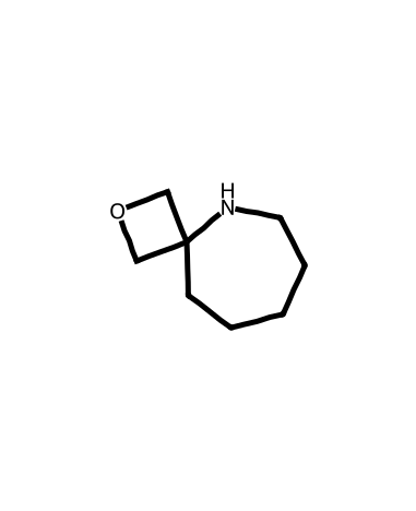 C1CCNC2(CC1)COC2